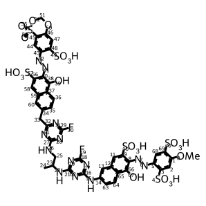 COc1cc(S(=O)(=O)O)c(/N=N/c2c(S(=O)(=O)O)cc3cc(Nc4nc(F)nc(NC(C)CNc5nc(F)nc(Cc6ccc7c(O)c(/N=N/c8cc9c(cc8S(=O)(=O)O)OCOS9(=O)=O)c(S(=O)(=O)O)cc7c6)n5)n4)ccc3c2O)cc1S(=O)(=O)O